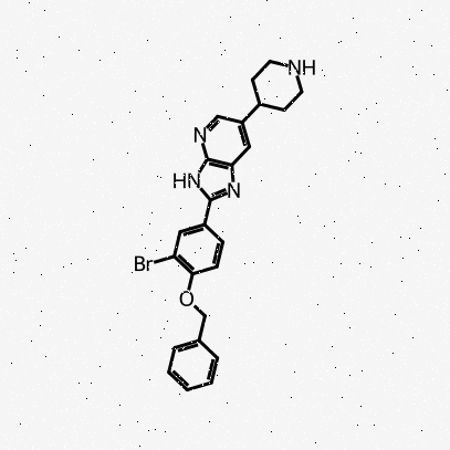 Brc1cc(-c2nc3cc(C4CCNCC4)cnc3[nH]2)ccc1OCc1ccccc1